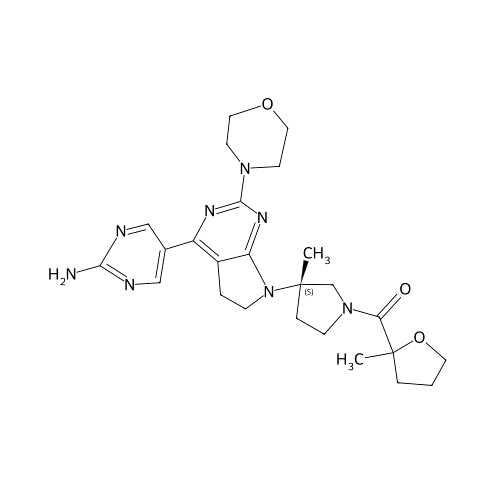 CC1(C(=O)N2CC[C@](C)(N3CCc4c(-c5cnc(N)nc5)nc(N5CCOCC5)nc43)C2)CCCO1